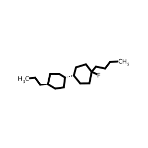 CCCCC1(F)CCC([C@H]2CC[C@H](CCC)CC2)CC1